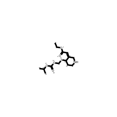 CCOC(=O)/C=C1/CNCCC1SCOC(=O)OC(C)C